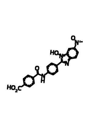 C[N+](=O)c1ccc2nc(-c3ccc(NC(=O)c4ccc(C(=O)O)cc4)cc3)n(O)c2c1